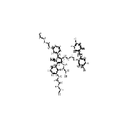 CCCCCCc1cccc(C2=C(CCCC)C(CCCC)=C(c3cccc(CCCCCC)c3)[N+]2=[N-])c1.Cc1cc[c]([Pd][c]2ccc(C)cc2)cc1